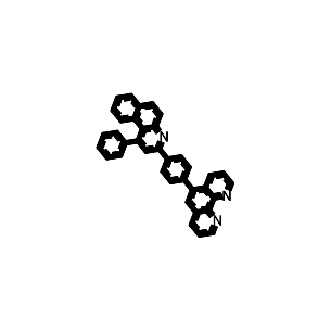 c1ccc(-c2cc(-c3ccc(-c4cc5cccnc5c5ncccc45)cc3)nc3ccc4ccccc4c23)cc1